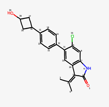 CC(C)=C1C(=O)Nc2cc(Cl)c(-c3ccc(C4CC(O)C4)cc3)cc21